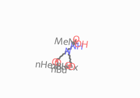 CCCCCCC(CCCCCC)OC(=O)CCCCCCCN(CCCCCCCC(=O)OCC(CCCC)CCCC)CCCNC1=C(NC)C(=O)C1O